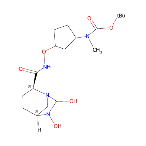 CN(C(=O)OC(C)(C)C)C1CCC(ONC(=O)[C@@H]2CC[C@H]3CN2C(O)N3O)C1